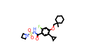 CC1(COc2cc(F)c(C(=O)NS(=O)(=O)N3CCC3)cc2C2CC2)CCCCC1